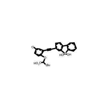 CC(C)(C)C(Oc1ccc(Cl)cc1C#Cc1ccc2c(c1)S(O)(O)c1ccccc1-2)C(=O)O